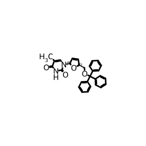 Cc1cn([C@H]2C=C[C@@H](COC(c3ccccc3)(c3ccccc3)c3ccccc3)O2)c(=O)[nH]c1=O